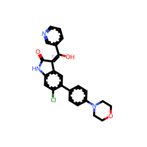 O=C1Nc2cc(Cl)c(-c3ccc(N4CCOCC4)cc3)cc2/C1=C(\O)c1cccnc1